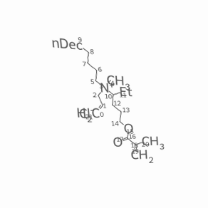 C=CC[N+](C)(CCCCCCCCCCCCCC)C(CC)CCCOC(=O)C(=C)C.[Cl-]